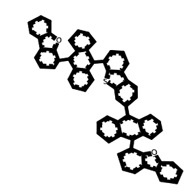 c1ccc2c(c1)oc1c(-c3c4ccccc4c(-c4ccc5c(c4)sc4c(-c6c7ccccc7c(-c7cccc8c7oc7ccccc78)c7ccccc67)cccc45)c4ccccc34)cccc12